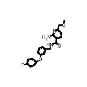 COCc1ccc(C(=O)NCc2cccc(Oc3ccc(F)cc3)c2)c(N)n1